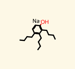 CCCCc1ccc(O)c(CCCC)c1CCCC.[Na]